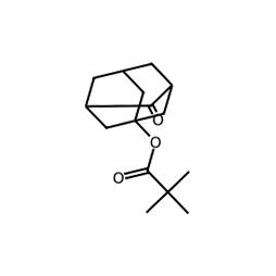 CC(C)(C)C(=O)OC12CC3CC(C1)C(=O)C(C3)C2